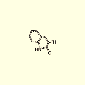 [2H]c1cc2ccccc2[nH]c1=O